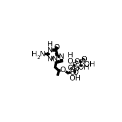 CC(Cc1cnc2c(=O)[nH]c(N)nn12)OCP(=O)(O)OP(=O)(O)OP(=O)(O)O